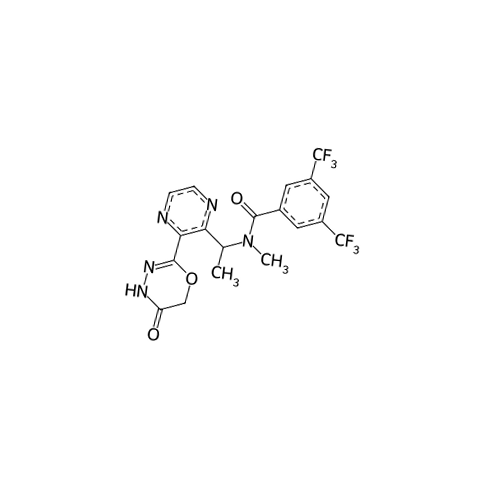 CC(c1nccnc1C1=NNC(=O)CO1)N(C)C(=O)c1cc(C(F)(F)F)cc(C(F)(F)F)c1